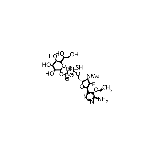 C=COc1c(N)ncnc1C1O[C@H](COP(=O)(S)OP(=O)(O)OC2OC([C@@H](O)CO)C(O)C(O)C2O)[C@@H](NC)[C@H]1F